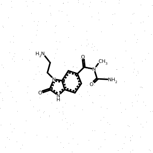 CN(C(N)=O)C(=O)c1ccc2[nH]c(=O)n(CCN)c2c1